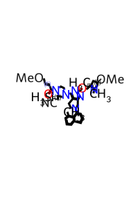 COC/C=C/C(=O)N1CCN(c2nc(OC[C@@]3(C)C[C@@H](OC)CN3C)nc3c2CCN(c2cccc4cccc(C)c24)C3)C[C@@]1([SiH3])CC#N